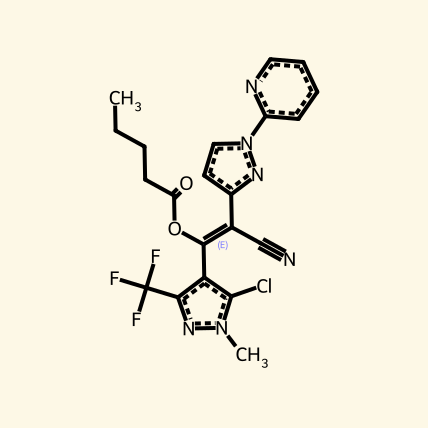 CCCCC(=O)O/C(=C(/C#N)c1ccn(-c2ccccn2)n1)c1c(C(F)(F)F)nn(C)c1Cl